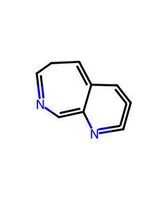 C1=C=NC2=CN=CCC=C2C=1